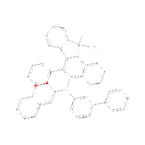 CC1(C)c2ccccc2-c2c(-c3ccccc3)c(N(c3cccc(-c4ccccc4)c3)c3ccc4ccccc4c3)c3ccccc3c21